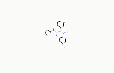 COc1cccc(CN(C(=O)c2cccs2)C(C(N)=O)c2cccc(F)c2)c1